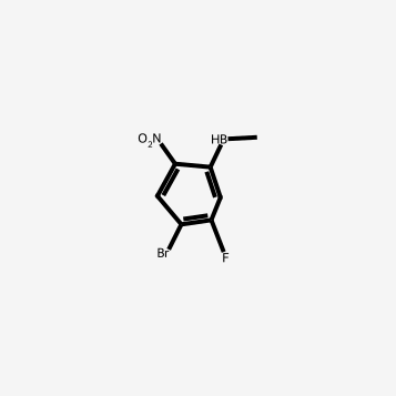 CBc1cc(F)c(Br)cc1[N+](=O)[O-]